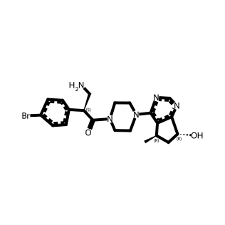 C[C@@H]1C[C@@H](O)c2ncnc(N3CCN(C(=O)[C@H](CN)c4ccc(Br)cc4)CC3)c21